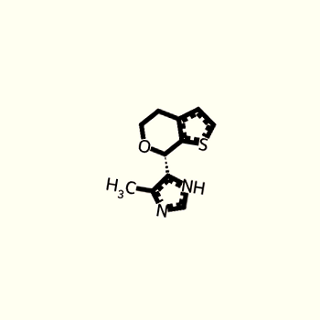 Cc1nc[nH]c1[C@@H]1OCCc2ccsc21